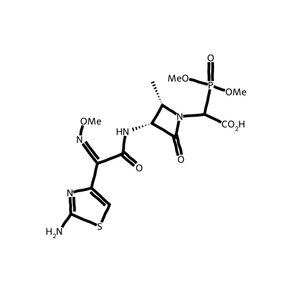 CON=C(C(=O)N[C@H]1C(=O)N(C(C(=O)O)P(=O)(OC)OC)[C@H]1C)c1csc(N)n1